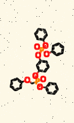 O=P(COc1ccccc1)(Oc1ccccc1)Oc1cccc(OP(=O)(Oc2ccccc2)Oc2ccccc2)c1